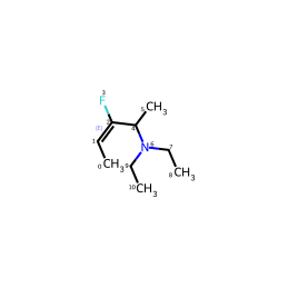 C/C=C(/F)C(C)N(CC)CC